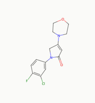 O=C1C=C(N2CCOCC2)CN1c1ccc(F)c(Cl)c1